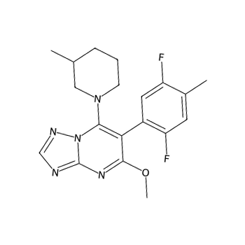 COc1nc2ncnn2c(N2CCCC(C)C2)c1-c1cc(F)c(C)cc1F